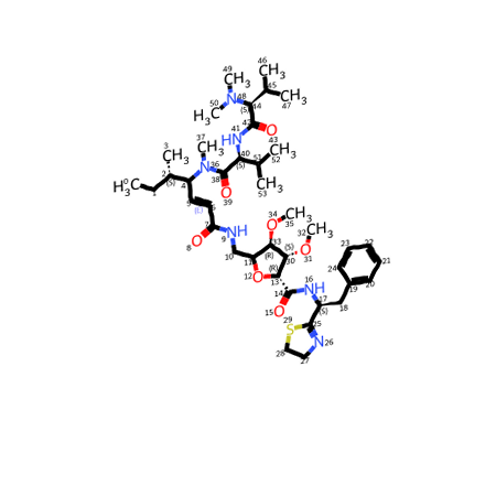 CC[C@H](C)C(/C=C/C(=O)NCC1O[C@@H](C(=O)N[C@@H](Cc2ccccc2)C2=NCCS2)[C@@H](OC)[C@@H]1OC)N(C)C(=O)[C@@H](NC(=O)[C@H](C(C)C)N(C)C)C(C)C